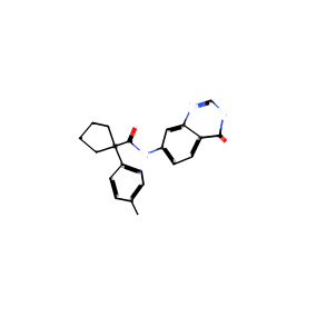 Cc1ccc(C2(C(=O)Nc3ccc4c(=O)[nH]cnc4c3)CCCC2)cc1